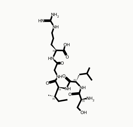 CC[C@H](C)[C@H](NC(=O)[C@H](CC(C)C)NC(=O)[C@@H](N)CO)C(=O)NCC(=O)N[C@@H](CCCNC(=N)N)C(=O)O